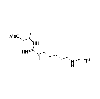 CCCCCCCNCCCCCNC(=N)NC(C)COC